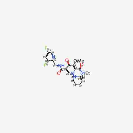 CCN1C(=O)c2c(OC)c(=O)c(C(=O)NCc3ncc(F)cc3F)cn2N2CCCC[C@@H]12